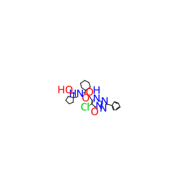 O=C(NCC1(CO)CCCC1)C1(OCc2[nH]c3nc(-c4ccccc4)nn3c(=O)c2Cl)CCCCC1